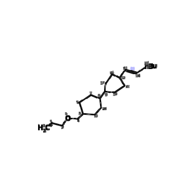 C=CCOCC1CCC(C2CCC(/C=C/CCCC)CC2)CC1